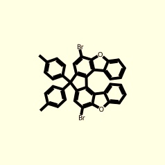 Cc1ccc(C2(c3ccc(C)cc3)c3cc(Br)c4oc5ccccc5c4c3-c3c2cc(Br)c2oc4ccccc4c32)cc1